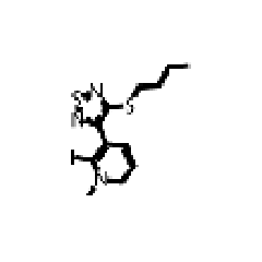 CCCCSc1nsnc1C1=C(I)N(C)CC=C1